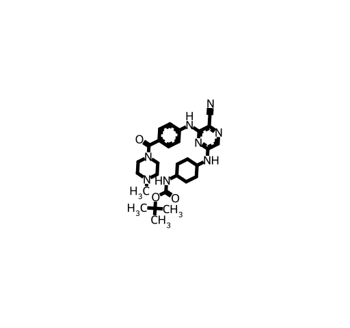 CN1CCN(C(=O)c2ccc(Nc3nc(NC4CCC(NC(=O)OC(C)(C)C)CC4)cnc3C#N)cc2)CC1